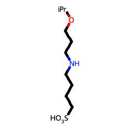 CC(C)OCCCNCCCCS(=O)(=O)O